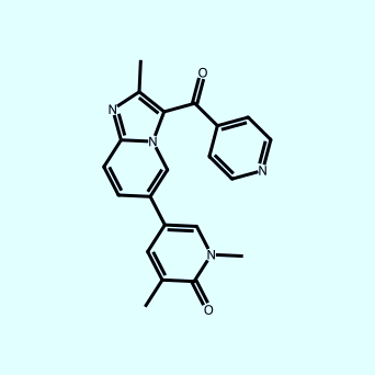 Cc1nc2ccc(-c3cc(C)c(=O)n(C)c3)cn2c1C(=O)c1ccncc1